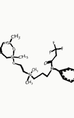 C[SiH]1CCCC[Si](C)(OCC[Si](C)(C)CCCN(C(=O)CC(F)(F)F)c2ccccc2)O1